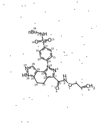 C=CCONC(=O)c1nn(-c2ccc(S(=O)(=O)NCCCC)cc2)c2c1CCc1[nH]ncc1-2